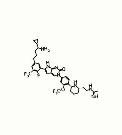 CC(=N)NCC[C@@H]1CCC[C@@H](c2ccc(-n3cc4cc(-c5cc(CCCC(N)C6CC6)cc(C(F)(F)F)c5F)[nH]c4nc3=O)cc2OC(F)(F)F)N1